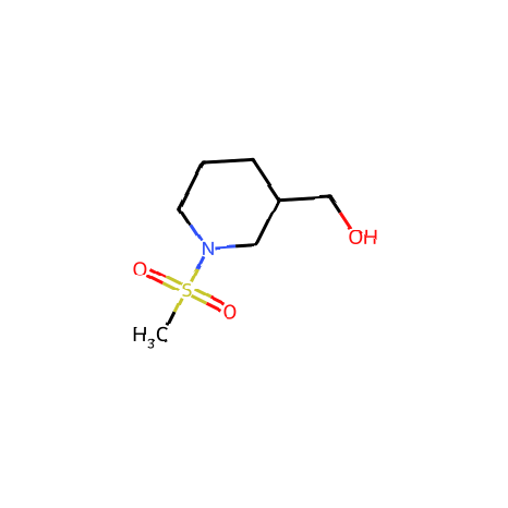 CS(=O)(=O)N1CCCC(CO)C1